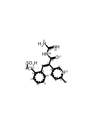 CS(=O)(=O)O.Cc1ccc(/C(=C\c2ccccc2Cl)C(=O)NC(=N)N)cn1